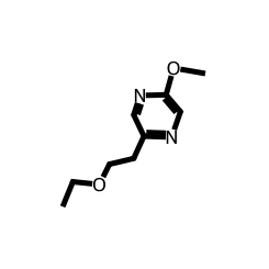 CCOCCc1cnc(OC)cn1